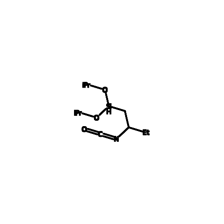 CCC(C[SiH](OC(C)C)OC(C)C)N=C=O